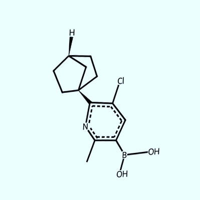 Cc1nc([C@]23CC[C@H](CC2)C3)c(Cl)cc1B(O)O